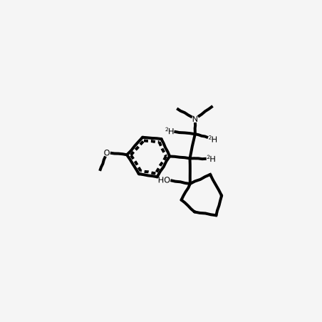 [2H]C([2H])(N(C)C)C([2H])(c1ccc(OC)cc1)C1(O)CCCCC1